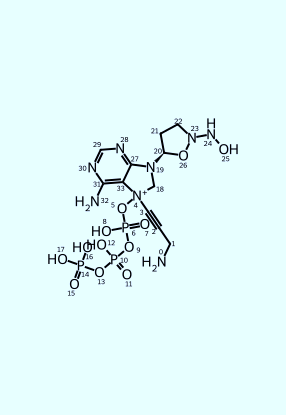 NCC#C[N+]1(OP(=O)(O)OP(=O)(O)OP(=O)(O)O)CN([C@H]2CCN(NO)O2)c2ncnc(N)c21